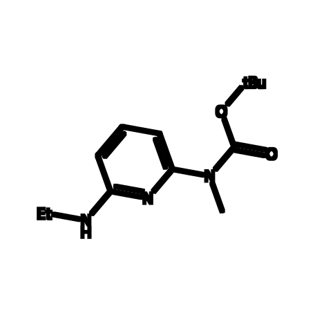 CCNc1cccc(N(C)C(=O)OC(C)(C)C)n1